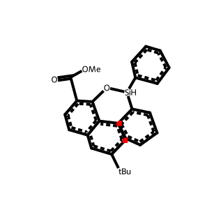 COC(=O)c1ccc2cc(C(C)(C)C)ccc2c1O[SiH](c1ccccc1)c1ccccc1